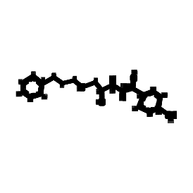 O=C(CSCCCc1ccccc1)NNC(=O)c1ccc(O)cc1